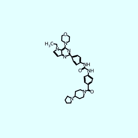 CCn1ccc2nc(-c3ccc(NC(=O)Nc4ccc(C(=O)N5CCC(N6CCCC6)CC5)cc4)cc3)nc(N3CCOCC3)c21